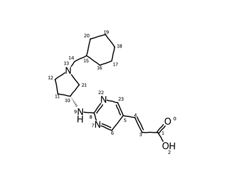 O=C(O)/C=C/c1cnc(N[C@@H]2CCN(CC3CCCCC3)C2)nc1